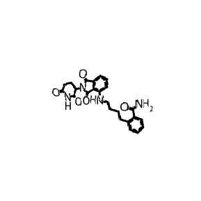 NC(=O)c1ccccc1CCCCNc1cccc2c1C(=O)N(C1CCC(=O)NC1=O)C2=O